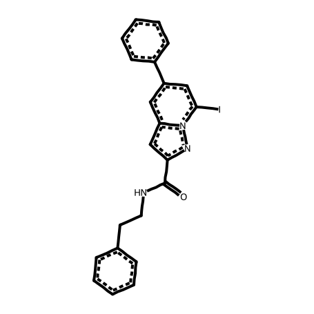 O=C(NCCc1ccccc1)c1cc2cc(-c3ccccc3)cc(I)n2n1